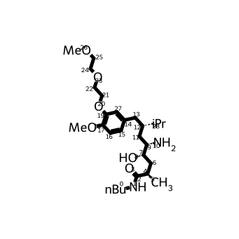 CCCCNC(=O)[C@H](C)C[C@H](O)[C@@H](N)C[C@H](Cc1ccc(OC)c(OCCOCCOC)c1)C(C)C